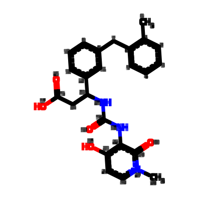 Cc1ccccc1Cc1cccc(C(CC(=O)O)NC(=O)Nc2c(O)ccn(C)c2=O)c1